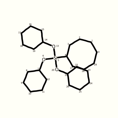 C1CCCC([Si](OC2CCCCC2)(OC2CCCCC2)OC2CCCCC2)CCC1